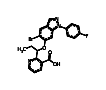 CCC(Oc1cc2c(cnn2-c2ccc(F)cc2)cc1Br)c1ncccc1C(=O)O